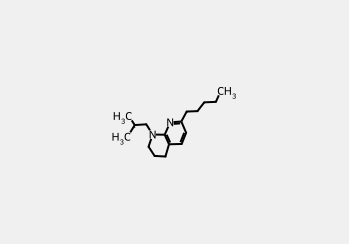 CCCCCc1ccc2c(n1)N(C[C](C)C)CCC2